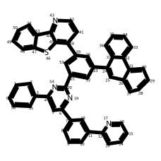 c1ccc(-c2cc(-c3cccc(-c4ccccn4)c3)nc(-c3cc(-c4cc5ccccc5c5ccccc45)cc(-c4ccnc5c4sc4ccccc45)c3)n2)cc1